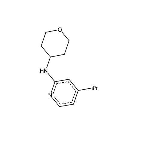 CC(C)c1ccnc(NC2CCOCC2)c1